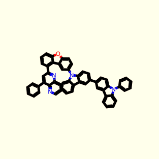 c1ccc(-c2cc(-c3cccc4oc5ccc(-n6c7ccccc7c7cc(-c8ccc9c(c8)c8ccccc8n9-c8ccccc8)ccc76)cc5c34)nc3cccnc23)cc1